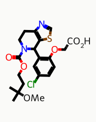 COC(C)(C)CCOC(=O)N1CCc2ncsc2C1c1cc(Cl)ccc1OCC(=O)O